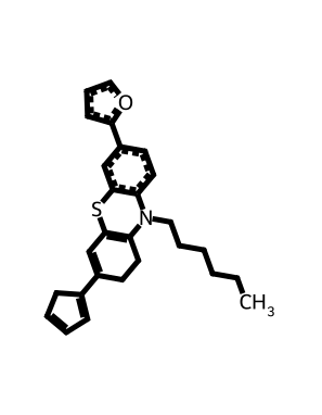 CCCCCCN1C2=C(C=C(C3=CC=CC3)CC2)Sc2cc(-c3ccco3)ccc21